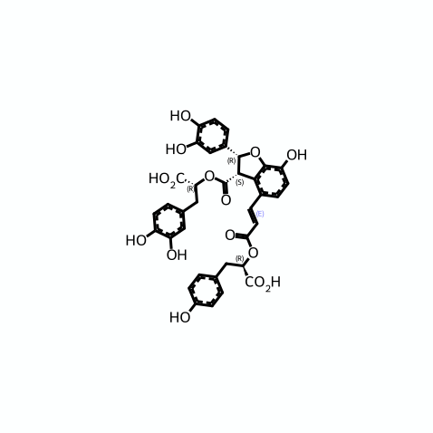 O=C(/C=C/c1ccc(O)c2c1[C@H](C(=O)O[C@H](Cc1ccc(O)c(O)c1)C(=O)O)[C@H](c1ccc(O)c(O)c1)O2)O[C@H](Cc1ccc(O)cc1)C(=O)O